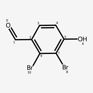 O=Cc1ccc(O)c(Br)c1Br